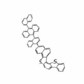 c1ccc2c(-c3c4ccccc4c(-c4ccc(-c5ccc6c(ccc7c6sc6ccc8c9ccccc9sc8c67)c5)c5ccccc45)c4ccccc34)cccc2c1